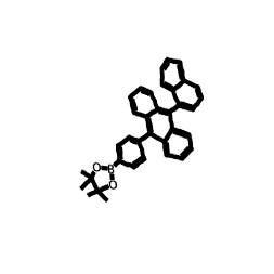 CC1(C)OB(c2ccc(-c3c4ccccc4c(-c4cccc5ccccc45)c4ccccc34)cc2)OC1(C)C